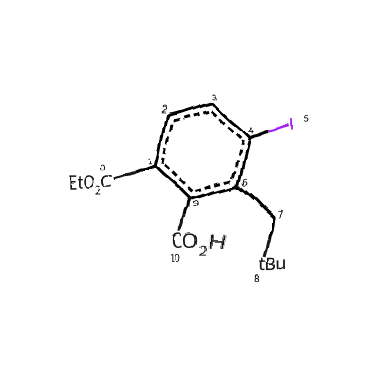 CCOC(=O)c1ccc(I)c(CC(C)(C)C)c1C(=O)O